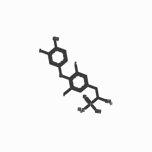 CP(=O)(O)C(N)Cc1cc(I)c(Oc2ccc(O)c(I)c2)c(I)c1